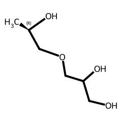 C[C@@H](O)COCC(O)CO